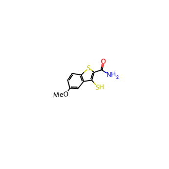 COc1ccc2sc(C(N)=O)c(S)c2c1